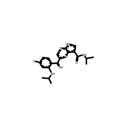 CC(C)NC(=O)c1c[nH]c2ncc(C(=N)c3ccc(Cl)cc3NC(C)C)nc12